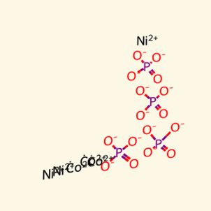 O=P([O-])([O-])[O-].O=P([O-])([O-])[O-].O=P([O-])([O-])[O-].O=P([O-])([O-])[O-].[Co+2].[Co+2].[Co+2].[Ni+2].[Ni+2].[Ni+2]